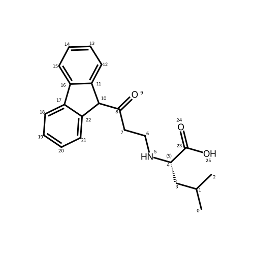 CC(C)C[C@H](NCCC(=O)C1c2ccccc2-c2ccccc21)C(=O)O